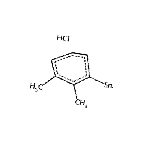 Cc1ccc[c]([Sn])c1C.Cl